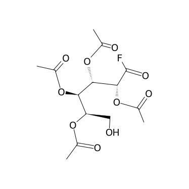 CC(=O)O[C@@H]([C@H](OC(C)=O)[C@@H](OC(C)=O)C(=O)F)[C@@H](CO)OC(C)=O